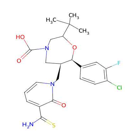 CC(C)(C)C1CN(C(=O)O)C[C@H](Cn2cccc(C(N)=S)c2=O)[C@H](c2ccc(Cl)c(F)c2)O1